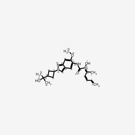 C=C/C=C\C(C)=[N+](\O)C(=O)Nc1cc2cn(C3CC(C(C)(C)O)C3)nc2cc1OC